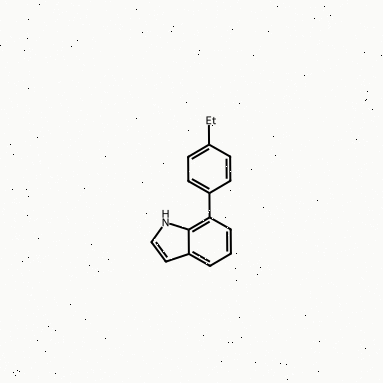 CCc1ccc(-c2cccc3cc[nH]c23)cc1